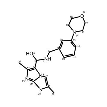 Cc1cn2c(C(O)NCc3cccc(N4CCOCC4)c3)c(C)nc2s1